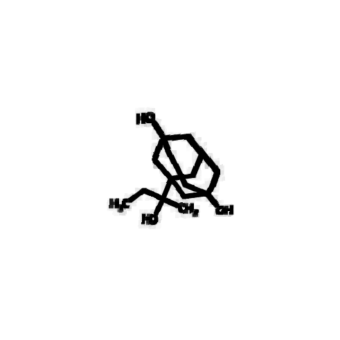 CCC(C)(O)C12CC3CC(O)(CC(O)(C3)C1)C2